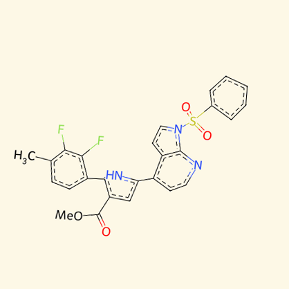 COC(=O)c1cc(-c2ccnc3c2ccn3S(=O)(=O)c2ccccc2)[nH]c1-c1ccc(C)c(F)c1F